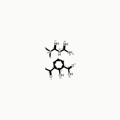 CC(=O)c1cccc(C(=O)O)c1O.CN(C)C(=N)NC(=N)N